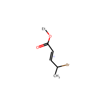 CCOC(=O)/C=C/C(C)Br